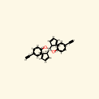 C#Cc1ccc([O][Zr]([O]c2ccc(C#C)cc2)([CH]2C=CC=C2)[CH]2C=CC=C2)cc1